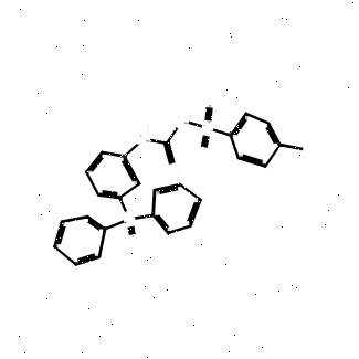 Cc1ccc(S(=O)(=O)NC(=O)Nc2cccc(P(=O)(c3ccccc3)c3ccccc3)c2)cc1